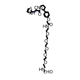 N#C/C(=C\C1NC=CS1)C(=O)N1CCCC1c1ccc(OCC(=O)NCCOCCOCCOCCOCCOCCNC=O)cc1